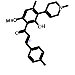 COc1cc(C)c(C2=CCN(C)CC2)c(O)c1C(=O)/C=C/c1ccc(C)cc1